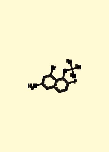 [2H]C([2H])([2H])Oc1c(F)ccc2cc(N)cc(Br)c12